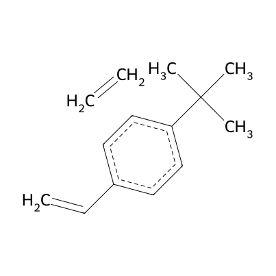 C=C.C=Cc1ccc(C(C)(C)C)cc1